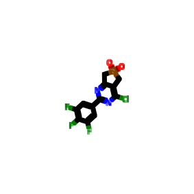 O=S1(=O)Cc2nc(-c3cc(F)c(F)c(F)c3)nc(Cl)c2C1